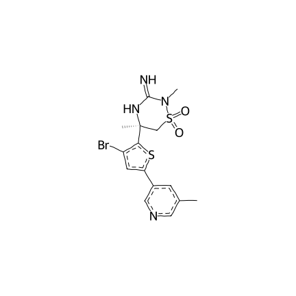 Cc1cncc(-c2cc(Br)c([C@]3(C)CS(=O)(=O)N(C)C(=N)N3)s2)c1